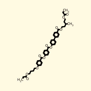 C=CC(=O)OCCCCOc1ccc(C(=O)Oc2ccc(C(=O)Oc3ccc(-c4ccc(C(=O)OCCC(C)CCOC(=O)C=C)cc4)cc3)cc2)cc1